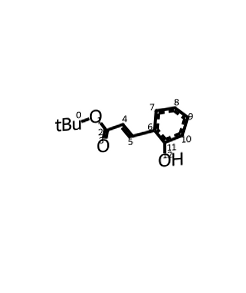 CC(C)(C)OC(=O)/C=C/c1ccccc1O